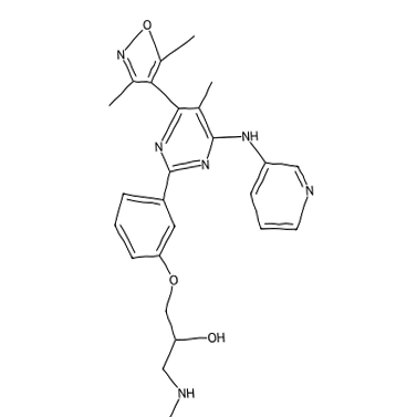 CNCC(O)COc1cccc(-c2nc(Nc3cccnc3)c(C)c(-c3c(C)noc3C)n2)c1